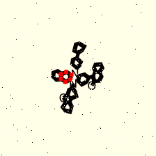 c1ccc(-c2ccc(N(c3ccccc3)c3cc4c(cc3N(c3ccc5ccccc5c3)c3ccc5c(c3)oc3ccccc35)oc3ccc5ccccc5c34)cc2)cc1